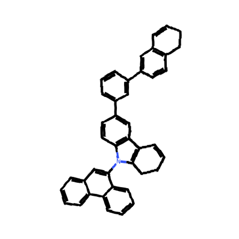 C1=Cc2cc(-c3cccc(-c4ccc5c(c4)c4c(n5-c5cc6ccccc6c6ccccc56)CCC=C4)c3)ccc2CC1